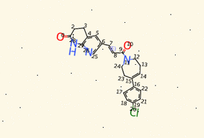 O=C1CCc2cc(/C=C/C(=O)N3CCC=C(c4ccc(Cl)cc4)CC3)cnc2N1